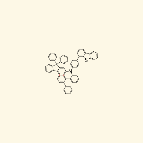 c1ccc(-c2ccccc2-c2ccccc2N(c2ccc(-c3cccc4c3sc3ccccc34)cc2)c2ccc3c(c2)C(c2ccccc2)(c2ccccc2)c2ccccc2-3)cc1